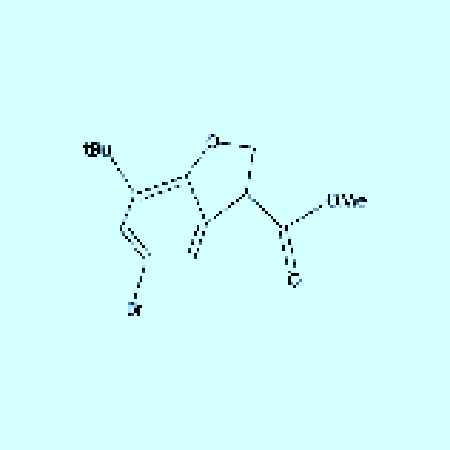 COC(=O)C1COc2c1cc(Br)cc2C(C)(C)C